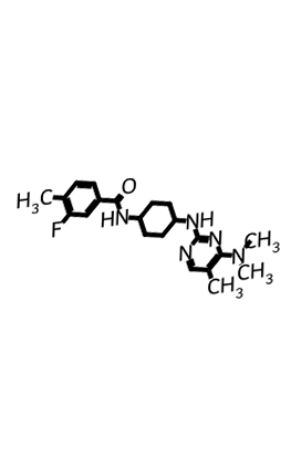 Cc1ccc(C(=O)NC2CCC(Nc3ncc(C)c(N(C)C)n3)CC2)cc1F